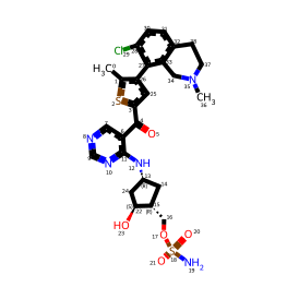 Cc1sc(C(=O)c2cncnc2N[C@@H]2C[C@H](COS(N)(=O)=O)[C@@H](O)C2)cc1-c1c(Cl)ccc2c1CN(C)CC2